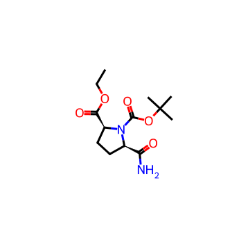 CCOC(=O)[C@@H]1CC[C@H](C(N)=O)N1C(=O)OC(C)(C)C